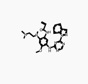 C=CC(=O)Nc1cc(Nc2ncnc(-n3ncc4ccccc43)n2)c(OC)cc1N(C)CCN(C)C